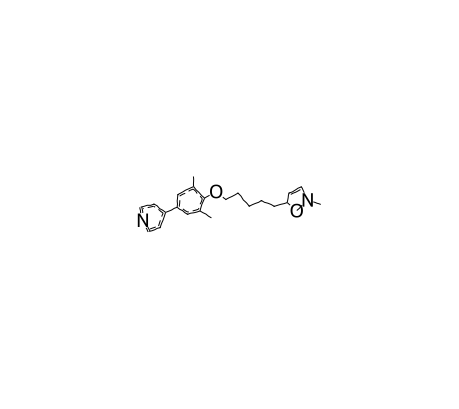 Cc1cc(-c2ccncc2)cc(C)c1OCCCCCC1C=CN(C)O1